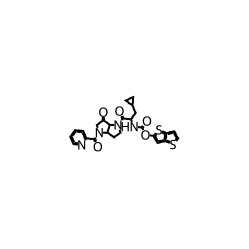 O=C(NC(CC1CC1)C(=O)N1CCC2C1C(=O)CN2C(=O)c1ccccn1)Oc1cc2sccc2s1